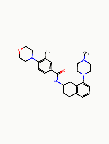 Cc1cc(C(=O)N[C@@H]2CCc3cccc(N4CCN(C)CC4)c3C2)ccc1N1CCOCC1